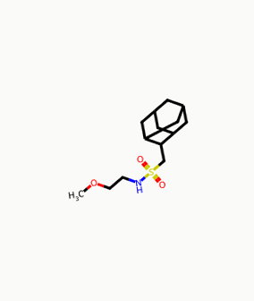 COCCNS(=O)(=O)CC1C2CC3CC(C2)CC1C3